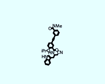 CNC(=O)c1cccc(C#Cc2ccc(OC(C)C)c(C(=O)NC(CC#N)Cc3c[nH]c4ccccc34)c2)c1